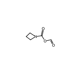 O=COC(=O)N1CCC1